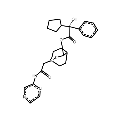 O=C(C[N+]12CCC(CC1)C(OC(=O)[C@](O)(c1ccccc1)C1CCCC1)C2)Nc1cnccn1